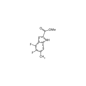 COC(=O)c1cc2c(F)c(F)c(C)cc2[nH]1